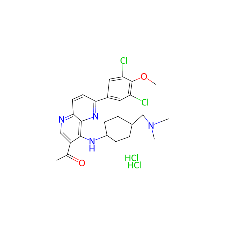 COc1c(Cl)cc(-c2ccc3ncc(C(C)=O)c(NC4CCC(CN(C)C)CC4)c3n2)cc1Cl.Cl.Cl